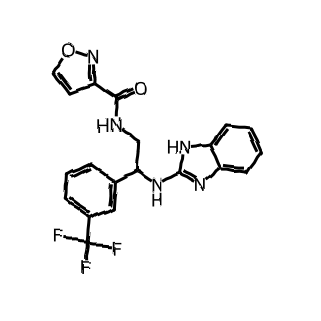 O=C(NCC(Nc1nc2ccccc2[nH]1)c1cccc(C(F)(F)F)c1)c1ccon1